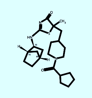 CC1(CC2CCN(C(=O)C3CCCC3)CC2)SC(N[C@H]2C[C@@H]3CC[C@H]2C3)=NC1=O